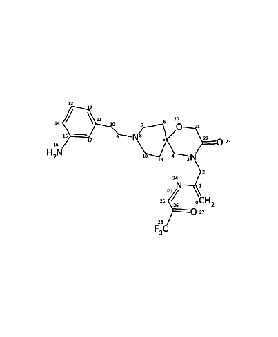 C=C(CN1CC2(CCN(CCc3cccc(N)c3)CC2)OCC1=O)/N=C\C(=O)C(F)(F)F